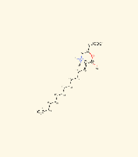 C[N+](C)(C)CC(CC(=O)[O-])OC(=O)C=CCCCCCCCCCCC(=O)O